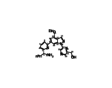 CCCC(N)c1cccc(-c2cc(OCC)c3cnn(-c4cncc(CO)n4)c3c2)n1